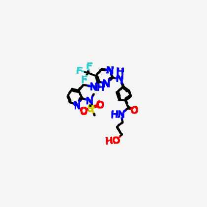 CN(c1ncccc1CNc1nc(Nc2ccc(C(=O)NCCCO)cc2)ncc1C(F)(F)F)S(C)(=O)=O